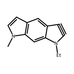 CCn1c#cc2cc3ccn(C)c3cc21